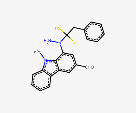 CCCn1c2ccccc2c2cc(C=O)cc(N(N)C(S)(S)Cc3ccccc3)c21